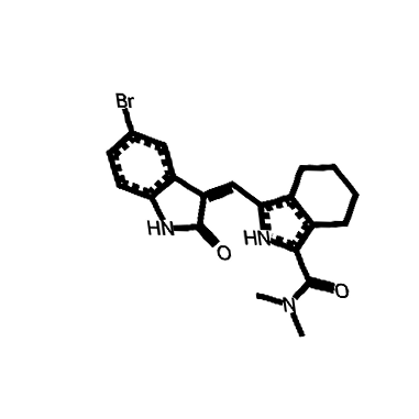 CN(C)C(=O)c1[nH]c(C=C2C(=O)Nc3ccc(Br)cc32)c2c1CCCC2